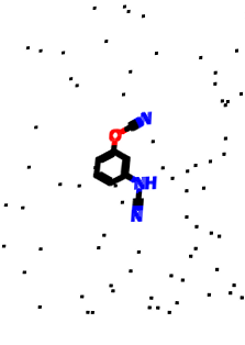 N#CNc1cccc(OC#N)c1